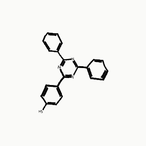 Sc1ccc(-c2nc(-c3ccccc3)nc(-c3ccccc3)n2)cc1